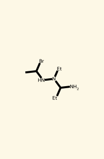 CCC(N)N(CC)NC(C)Br